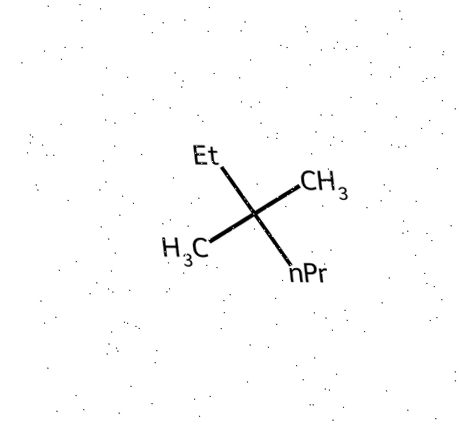 [CH2]CCC(C)(C)CC